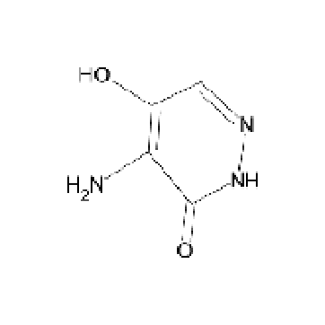 Nc1c(O)cn[nH]c1=O